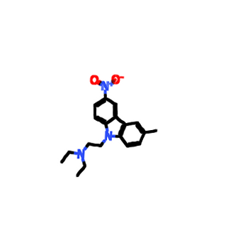 CCN(CC)CCn1c2ccc(C)cc2c2cc([N+](=O)[O-])ccc21